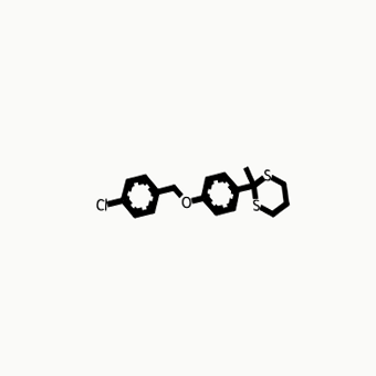 CC1(c2ccc(OCc3ccc(Cl)cc3)cc2)SCCCS1